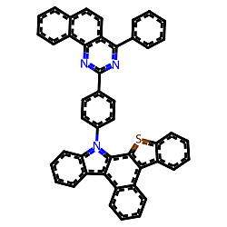 c1ccc(-c2nc(-c3ccc(-n4c5ccccc5c5c6ccccc6c6c7ccccc7sc6c54)cc3)nc3c2ccc2ccccc23)cc1